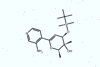 C[C@H]1OC(c2ccncc2N)=C[C@@H](O[Si](C)(C)C(C)(C)C)[C@]1(C)O